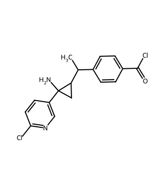 CC(c1ccc(C(=O)Cl)cc1)C1CC1(N)c1ccc(Cl)nc1